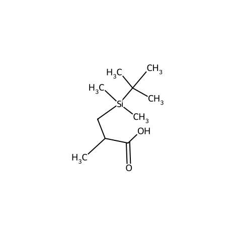 CC(C[Si](C)(C)C(C)(C)C)C(=O)O